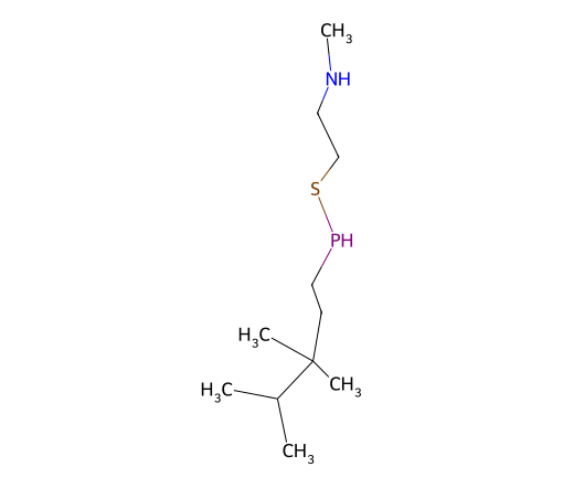 CNCCSPCCC(C)(C)C(C)C